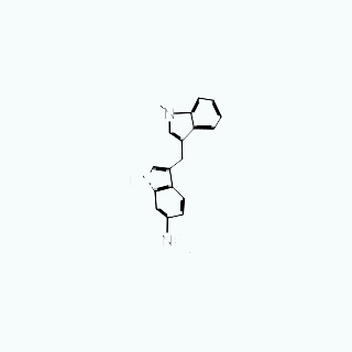 Cn1cc(Cc2c[nH]c3cc([N+](=O)[O-])ccc23)c2ccccc21